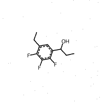 CCc1cc(C(O)CC)c(F)c(F)c1F